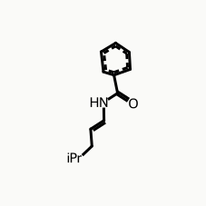 CC(C)C/C=C/NC(=O)c1ccccc1